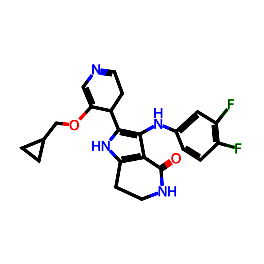 O=C1NCCc2[nH]c(C3CC=NC=C3OCC3CC3)c(Nc3ccc(F)c(F)c3)c21